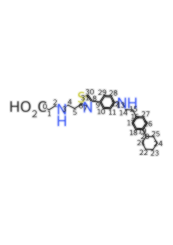 O=C(O)CCNCCc1nc(-c2ccc(NCCc3ccc(C4CCCCC4)cc3)cc2)cs1